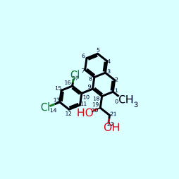 Cc1cc2ccccc2c(-c2ccc(Cl)cc2Cl)c1[C@H](O)CO